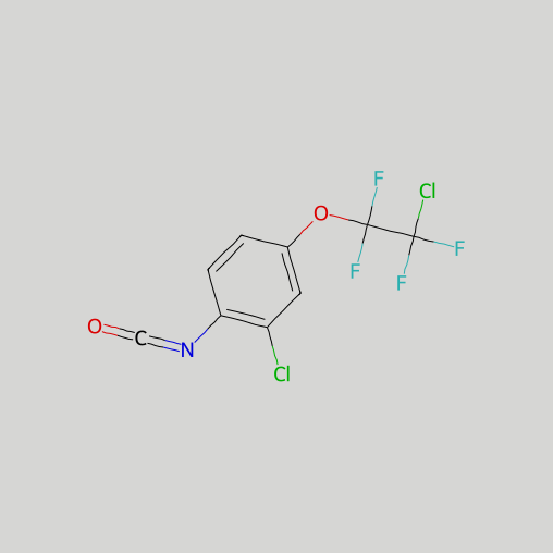 O=C=Nc1ccc(OC(F)(F)C(F)(F)Cl)cc1Cl